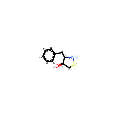 O=C1CSNC1Cc1ccccc1